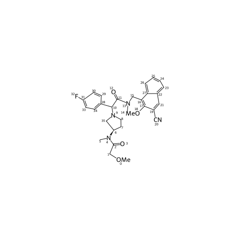 COCC(=O)N(C)[C@@H]1CCN(C(C(=O)N(C)Cc2c(OC)c(C#N)cc3ccccc23)c2ccc(F)cc2)C1